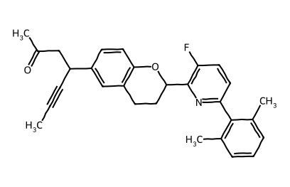 CC#CC(CC(C)=O)c1ccc2c(c1)CCC(c1nc(-c3c(C)cccc3C)ccc1F)O2